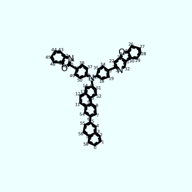 c1ccc2cc(-c3ccc4c(ccc5cc(N(c6ccc(-c7cc8oc9ccccc9c8cn7)cc6)c6ccc(-c7nc8ccccc8o7)cc6)ccc54)c3)ccc2c1